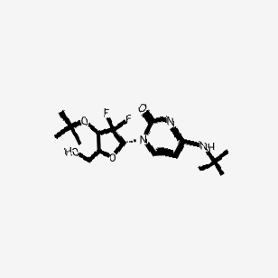 CC(C)(C)Nc1ccn([C@@H]2OC(CO)C(OC(C)(C)C)C2(F)F)c(=O)n1